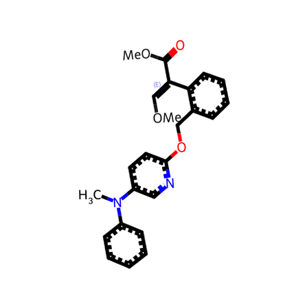 CO/C=C(/C(=O)OC)c1ccccc1COc1ccc(N(C)c2ccccc2)cn1